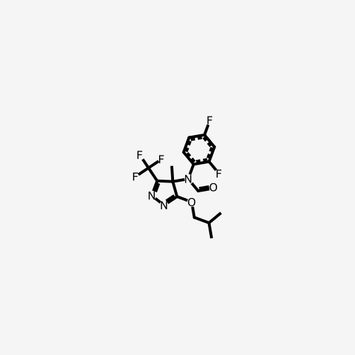 CC(C)COC1=NN=C(C(F)(F)F)C1(C)N(C=O)c1ccc(F)cc1F